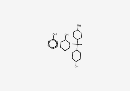 CC(C)(C1CCC(O)CC1)C1CCC(O)CC1.OC1CCCCC1.Oc1ccccc1